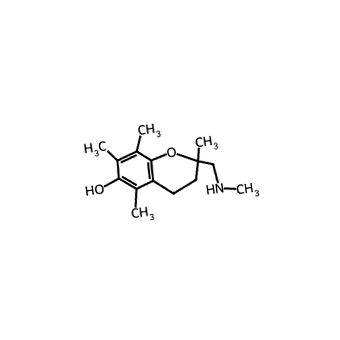 CNCC1(C)CCc2c(C)c(O)c(C)c(C)c2O1